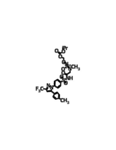 Cc1ccc(-c2cc(C(F)(F)F)nn2-c2ccc(S(=O)(=O)NC(=O)CN(C)[N+]([O-])=NOCOC(=O)OC(C)C)cc2)cc1